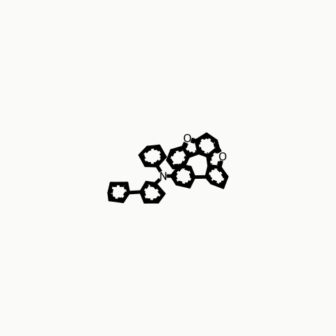 c1ccc(-c2cccc(N(c3ccccc3)c3ccc(-c4cccc5oc6ccc7oc8ccccc8c7c6c45)cc3)c2)cc1